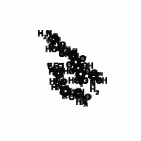 CC(=O)[C@]1(O)Cc2c(O)c3c(c(O)c2[C@@H](O[C@H]2C[C@H](N)[C@H](O)[C@H](C)O2)C1)C(=O)c1ccccc1C3=O.CNC(=O)c1cc(Oc2ccc(NC(=O)Nc3ccc(Cl)c(C(F)(F)F)c3)cc2)ccn1.Nc1ccn([C@@H]2O[C@H](CO)[C@@H](O)[C@@H]2O)c(=O)n1